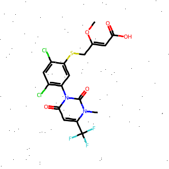 COC(=CC(=O)O)CSc1cc(-n2c(=O)cc(C(F)(F)F)n(C)c2=O)c(Cl)cc1Cl